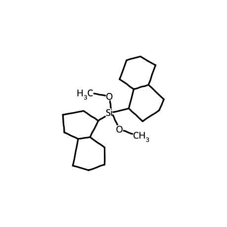 CO[Si](OC)(C1CCCC2CCCCC21)C1CCCC2CCCCC21